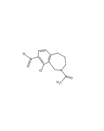 CC(=O)N1CCCc2ccc([N+](=O)[O-])c(Cl)c2C1